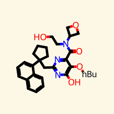 CCCCOc1c(O)nc(CC2(c3cccc4ccccc34)CCCC2)nc1C(=O)N(CCO)C1COC1